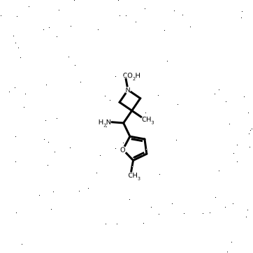 Cc1ccc(C(N)C2(C)CN(C(=O)O)C2)o1